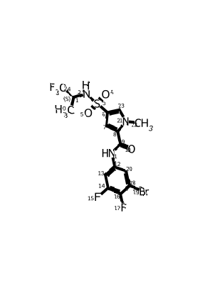 C[C@H](NS(=O)(=O)c1cc(C(=O)Nc2cc(F)c(F)c(Br)c2)n(C)c1)C(F)(F)F